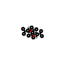 O=P12c3c4cc(N(c5ccccc5)c5ccccc5)cc3Oc3c5c6c(c(c31)N(c1ccccc1)c1cccc(c12)O4)Oc1cc(N(c2ccccc2)c2ccccc2)cc2c1P6(=O)c1c(cccc1N5c1ccccc1)O2